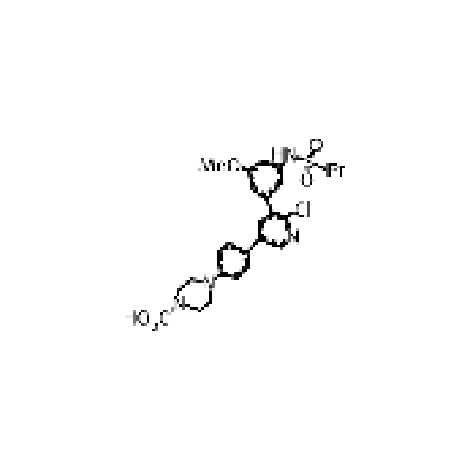 COc1cc(NS(=O)(=O)C(C)C)cc(-c2cc(-c3ccc(N4CCN(C(=O)O)CC4)cc3)cnc2Cl)c1